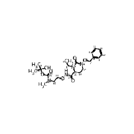 CCN1C(=O)N(OCc2ccccc2)CCC1C(=O)NOCCN(C)C(=O)OC(C)(C)C